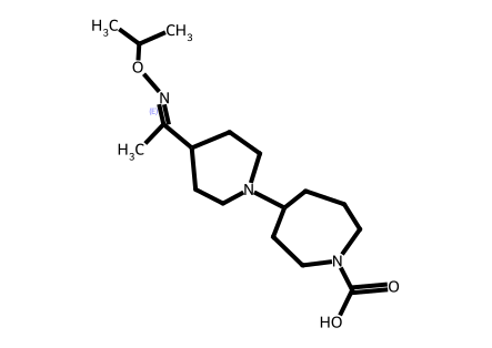 C/C(=N\OC(C)C)C1CCN(C2CCCN(C(=O)O)CC2)CC1